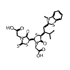 CC(C)C(/C=C1\Sc2ccccc2N1C)=c1/s/c(=C2/SC(=S)N(CC(=O)O)C2=O)n(CC(=O)O)c1=O